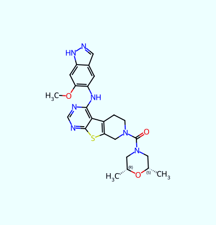 COc1cc2[nH]ncc2cc1Nc1ncnc2sc3c(c12)CCN(C(=O)N1C[C@@H](C)O[C@@H](C)C1)C3